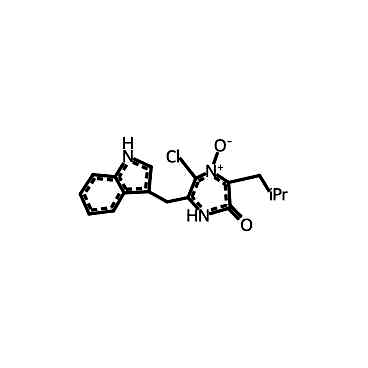 CC(C)Cc1c(=O)[nH]c(Cc2c[nH]c3ccccc23)c(Cl)[n+]1[O-]